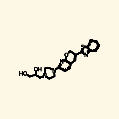 OCC(O)CN1CCN(c2ccc3c(n2)OCC(c2nc4ccccc4s2)=C3)CC1